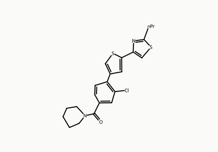 CCCc1nc(-c2cc(-c3ccc(C(=O)N4CCCCC4)cc3Cl)cs2)cs1